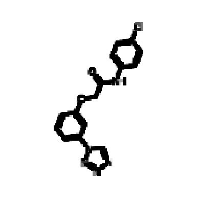 O=C(COc1cccc(-n2cnnn2)c1)Nc1ccc(Cl)cc1